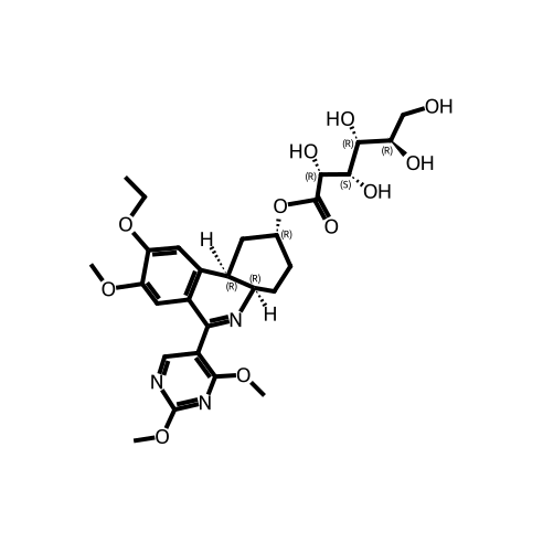 CCOc1cc2c(cc1OC)C(c1cnc(OC)nc1OC)=N[C@@H]1CC[C@@H](OC(=O)[C@H](O)[C@@H](O)[C@H](O)[C@H](O)CO)C[C@H]21